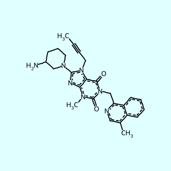 CC#CCn1c(N2CCCC(N)C2)nc2c1c(=O)n(Cc1ncc(C)c3ccccc13)c(=O)n2C